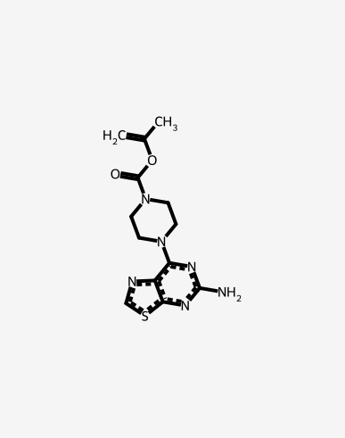 C=C(C)OC(=O)N1CCN(c2nc(N)nc3scnc23)CC1